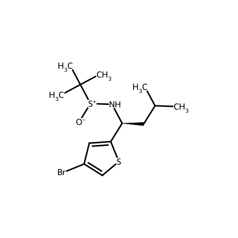 CC(C)C[C@H](N[S+]([O-])C(C)(C)C)c1cc(Br)cs1